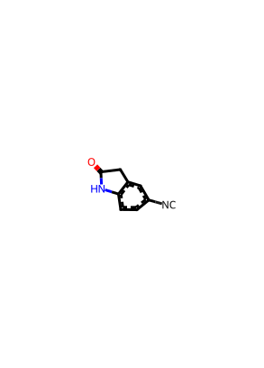 [C-]#[N+]c1ccc2c(c1)CC(=O)N2